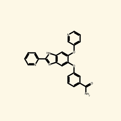 NC(=O)c1cccc(Oc2cc3nc(-c4ccccn4)[nH]c3cc2Oc2cccnc2)c1